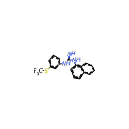 N=C(Nc1cccc(SC(F)(F)F)c1)Nc1cccc2ccccc12